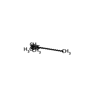 CCCCCCCCCCCCCCCCCCCCC=CC=CSSSSC[Si](OCC)(OCC)OCC